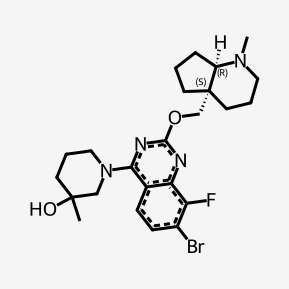 CN1CCC[C@@]2(COc3nc(N4CCCC(C)(O)C4)c4ccc(Br)c(F)c4n3)CCC[C@@H]12